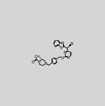 CC(=O)N1CCN(Cc2ccc(COc3nccc(C(C#N)c4nc5ccccc5s4)n3)cc2)CC1